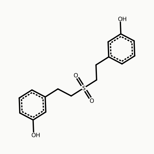 O=S(=O)(CCc1cccc(O)c1)CCc1cccc(O)c1